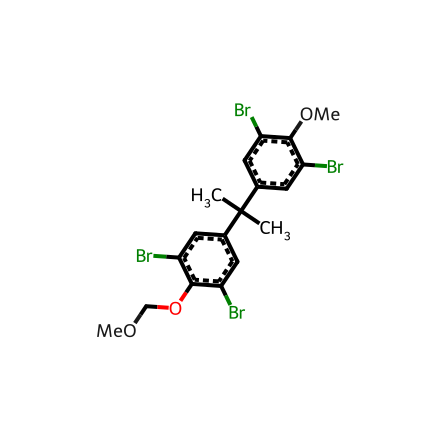 COCOc1c(Br)cc(C(C)(C)c2cc(Br)c(OC)c(Br)c2)cc1Br